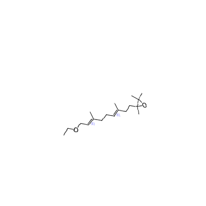 CCOC/C=C(\C)CC/C=C(\C)CCC1(C)OC1(C)C